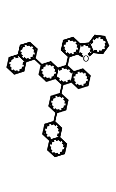 c1ccc2cc(-c3ccc(-c4c5ccccc5c(-c5cccc6c5oc5ccccc56)c5cc(-c6cccc7ccccc67)ccc45)cc3)ccc2c1